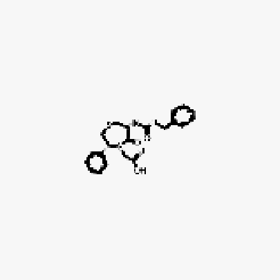 O=C(O)CN1C(=O)[C@@H](NC(=O)OCc2ccccc2)CSC[C@H]1c1ccccc1